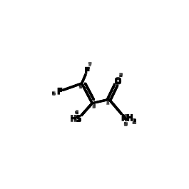 NC(=O)C(S)=C(F)F